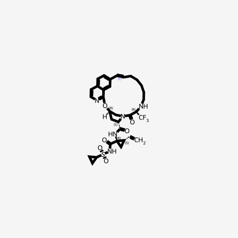 C=C[C@@H]1C[C@]1(NC(=O)[C@@H]1C[C@@H]2CN1C(=O)[C@H](C(F)(F)F)NCCCCC/C=C/c1ccc3ccnc(c3c1)O2)C(=O)NS(=O)(=O)C1CC1